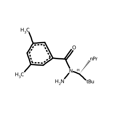 CCC[C@@H](N(N)C(=O)c1cc(C)cc(C)c1)C(C)(C)C